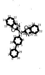 c1ccc(-c2ccc(N(c3nc4ccccc4o3)c3nc4ccccc4o3)cc2)cc1